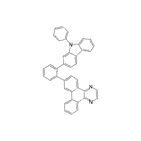 c1ccc(-n2c3ccccc3c3ccc(-c4ccccc4-c4ccc5c(c4)c4ccccc4c4nccnc54)cc32)cc1